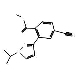 COC(=O)c1ccc(C#N)cc1-c1ccn(C(C)C)n1